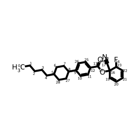 CCCCCC1CCC(c2ccc(C(=O)OC3(C#N)C=CC=CC3F)cc2)CC1